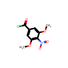 COc1cc(C(=O)Cl)cc(OC)c1[N+](=O)[O-]